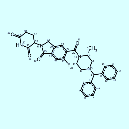 C[C@@H]1CN(C(c2ccccc2)c2ccccc2)CCN1C(=O)c1cc2c(cc1F)C(=O)N(C1CCC(=O)NC1=O)C2